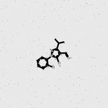 CC(C)c1nn(-c2ccccc2Cl)c(Cl)c1C=O